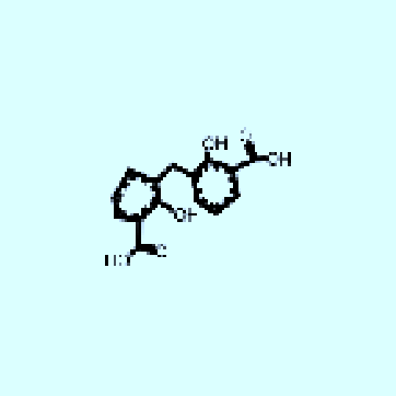 O=C(O)c1cccc(Cc2cccc(C(=O)O)c2O)c1O